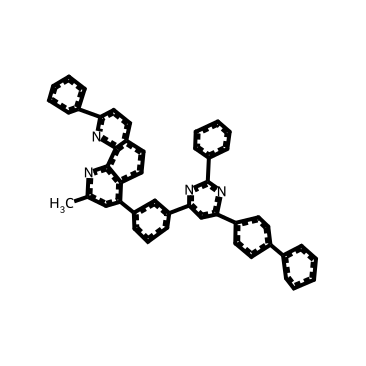 Cc1cc(-c2cccc(-c3cc(-c4ccc(-c5ccccc5)cc4)nc(-c4ccccc4)n3)c2)c2ccc3ccc(-c4ccccc4)nc3c2n1